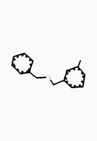 Clc1cccc(CNCc2ccccc2)c1